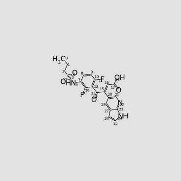 CCCS(=O)(=O)Nc1ccc(F)c(C(=O)C(=CC(=O)O)c2cnc3[nH]ccc3c2)c1F